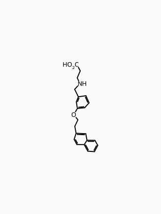 O=C(O)CCNCc1cccc(OCCc2ccc3ccccc3c2)c1